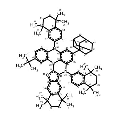 CC(C)(C)c1ccc2c(c1)B1c3oc4cc5c(cc4c3N(c3ccc4c(c3)C(C)(C)CCC4(C)C)c3cc(C46CC7CC(CC(C7)C4)C6)cc(c31)N2c1ccc2c(c1)C(C)(C)CCC2(C)C)C(C)(C)CCC5(C)C